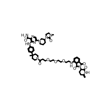 C=C1CCC(N2C(=O)c3cccc(NCCOCCOCCOCCC(=O)N4CCC(C)(c5ccc(Nc6nc(N7CCC[C@@H](N8CCN(C)C8=O)C7)cnc6C(N)=O)cc5)CC4)c3C2=O)C(=O)N1